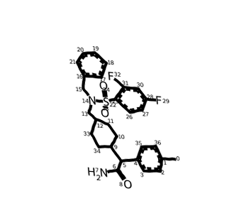 Cc1ccc(C(C(N)=O)C2CCC(CN(Cc3ccccc3)S(=O)(=O)c3ccc(F)cc3F)CC2)cc1